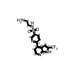 NCCNS(=O)(=O)c1ccc(-c2ccnc3[nH]c(C(F)(F)F)cc23)nc1